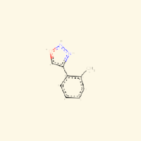 Cc1ccccc1-c1conn1